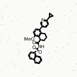 COc1ccc(-c2ccc(C3CC3)nc2)c2c1C(C(=O)NS(=O)(=O)c1cccc3ccccc13)CCC2